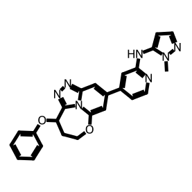 Cn1nccc1Nc1cc(-c2cc3n4c(nnc4c2)C(Oc2ccccc2)CCO3)ccn1